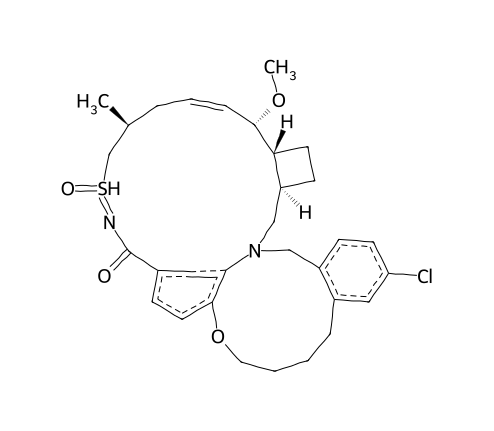 CO[C@H]1/C=C\C[C@H](C)C/[SH](=O)=N\C(=O)c2ccc3c(c2)N(Cc2ccc(Cl)cc2CCCCO3)C[C@@H]2CC[C@H]21